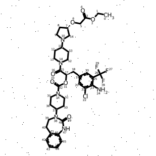 CCOC(=O)CO[C@H]1CCN(C2CCN(C(=O)[C@@H](Cc3cc(Cl)c(N)c(C(F)(F)F)c3)OC(=O)N3CCC(N4CCc5ccccc5NC4=O)CC3)CC2)C1